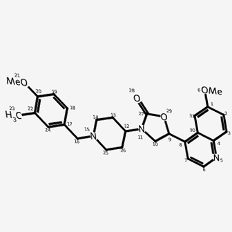 COc1ccc2nccc(C3CN(C4CCN(Cc5ccc(OC)c(C)c5)CC4)C(=O)O3)c2c1